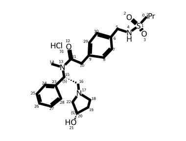 CC(C)S(=O)(=O)NCc1ccc(CC(=O)N(C)[C@H](CN2CC[C@H](O)C2)c2ccccc2)cc1.Cl